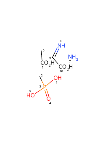 CC(=O)O.CP(=O)(O)O.N.N=CC(=O)O